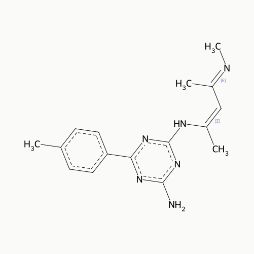 C/N=C(C)/C=C(/C)Nc1nc(N)nc(-c2ccc(C)cc2)n1